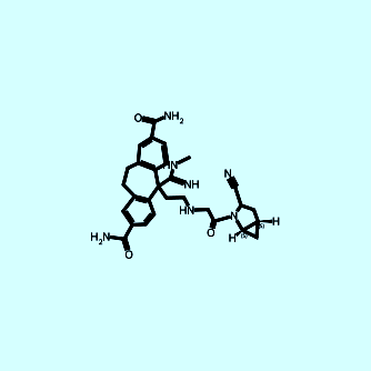 CNC(=N)C1(CCNCC(=O)N2C(C#N)C[C@@H]3C[C@@H]32)c2ccc(C(N)=O)cc2CCc2cc(C(N)=O)ccc21